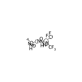 O=C(N[C@@H]1CC[C@@H](c2cccc(F)c2F)Cn2c(CC(F)(F)F)cnc21)N1CCC(c2cc(C3CC3)n[nH]c2=O)CC1